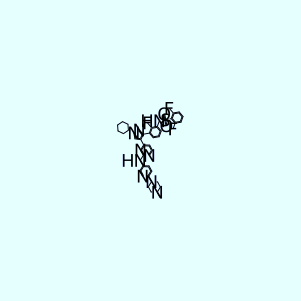 CN1CCN(c2ccc(Nc3nccc(-c4cn(C5CCCCC5)nc4-c4cccc(NS(=O)(=O)c5c(F)cccc5F)c4F)n3)cn2)CC1